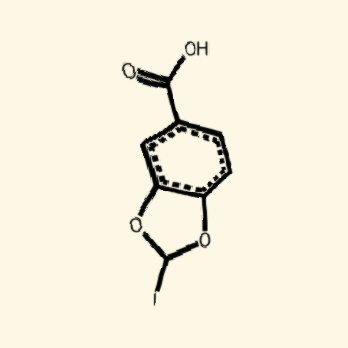 O=C(O)c1ccc2c(c1)OC(I)O2